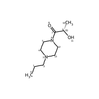 CCCN1CCN(C(=O)[C@H](C)O)CC1